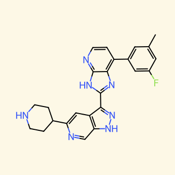 Cc1cc(F)cc(-c2ccnc3[nH]c(-c4n[nH]c5cnc(C6CCNCC6)cc45)nc23)c1